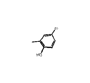 C[CH]c1ccc(O)c(C)c1